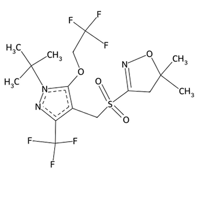 CC1(C)CC(S(=O)(=O)Cc2c(C(F)(F)F)nn(C(C)(C)C)c2OCC(F)(F)F)=NO1